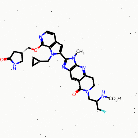 Cn1c(-c2cc3ccnc(OC[C@@H]4CNC(=O)C4)c3n2CC2CC2)nc2cc3c(nc21)CCN(CC(CF)NC(=O)O)C3=O